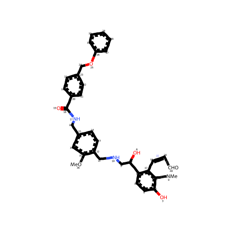 CNc1c(O)ccc(C(O)CNCc2ccc(CNC(=O)c3ccc(COc4ccccc4)cc3)cc2OC)c1/C=C\C=O